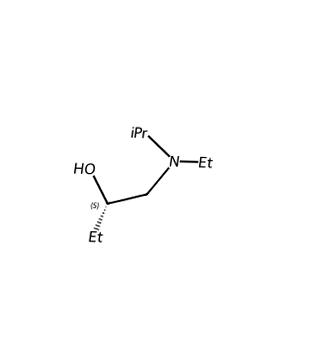 CC[C@H](O)CN(CC)C(C)C